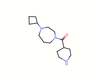 O=C(C1CCNCC1)N1CCCN(C2CCC2)CC1